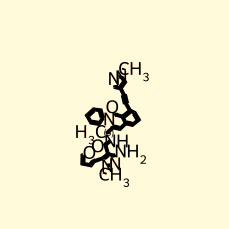 C[C@H](NC(=O)c1c(N)nn(C)c1-c1ccco1)c1cc2cccc(C#Cc3cnn(C)c3)c2c(=O)n1-c1ccccc1